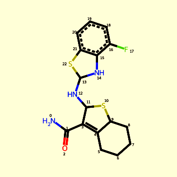 NC(=O)C1=C2CCCCC2SC1NC1Nc2c(F)cccc2S1